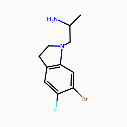 CC(N)CN1CCc2cc(F)c(Br)cc21